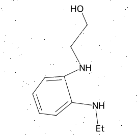 CCNc1ccccc1NCCO